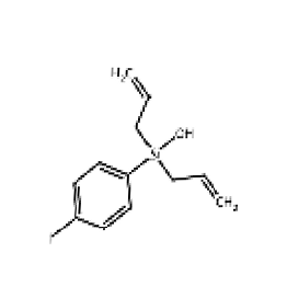 C=CC[Si](O)(CC=C)c1ccc(I)cc1